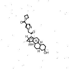 C[C@H]1[C@@H]2[C@H]1[C@H](C(=O)Cn1cc(C(=O)N3CCC3)cn1)[C@@]1(C)CC[C@H]3[C@@H](CC[C@@H]4C[C@](C)(O)CC[C@@H]43)[C@H]21